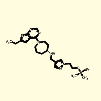 CC(C)[Si](C)(C)OCCn1cc(CN[C@@H]2CCCN(c3ncnc4sc(CC(F)(F)F)cc34)CC2)cn1